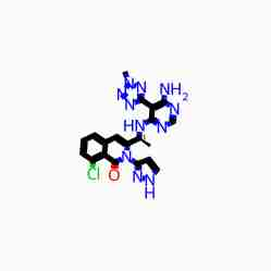 C[C@H](Nc1ncnc(N)c1-c1nnn(C)n1)c1cc2cccc(Cl)c2c(=O)n1-c1cc[nH]n1